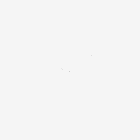 Cc1ccc(F)c(-c2nn(C3CC4(C3)CN(C=O)C4)cc2C(F)(F)F)c1